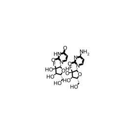 Nc1ccn([C@@H]2O[C@H](CO)[C@@H](O)[C@]2(O)F)c(=O)n1.O=c1ccn([C@@H]2O[C@H](CO)[C@@H](O)[C@]2(O)F)c(=O)[nH]1